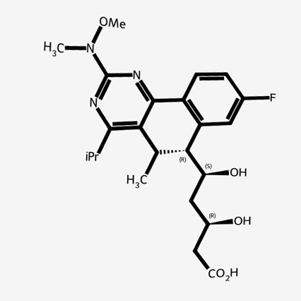 CON(C)c1nc2c(c(C(C)C)n1)C(C)[C@@H]([C@@H](O)C[C@@H](O)CC(=O)O)c1cc(F)ccc1-2